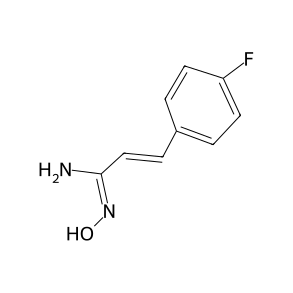 NC(/C=C/c1ccc(F)cc1)=NO